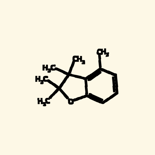 Cc1cccc2c1C(C)(C)C(C)(C)O2